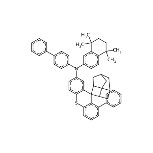 CC1(C)CCC(C)(C)c2cc(N(c3ccc(-c4ccccc4)cc3)c3ccc4c(c3)C3(c5c(cccc5-c5ccccc5)S4)C4CC5CC6CC3C64C5)ccc21